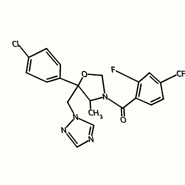 CC1N(C(=O)c2ccc(C(F)(F)F)cc2F)COC1(Cn1cncn1)c1ccc(Cl)cc1